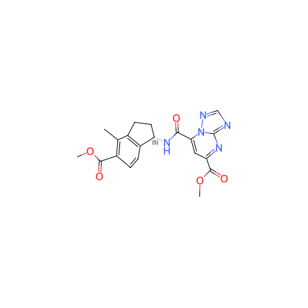 COC(=O)c1cc(C(=O)N[C@H]2CCc3c2ccc(C(=O)OC)c3C)n2ncnc2n1